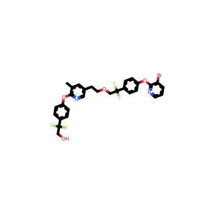 Cc1cc(CCOCC(F)(F)c2ccc(Oc3ncccc3Br)cc2)cnc1Oc1ccc(C(F)(F)CO)cc1